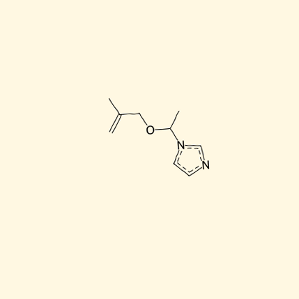 C=C(C)COC(C)n1ccnc1